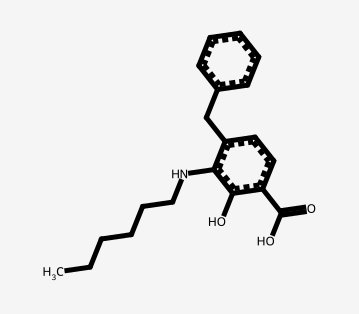 CCCCCCNc1c(Cc2ccccc2)ccc(C(=O)O)c1O